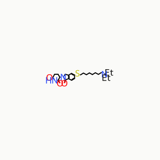 CCN(CC)CCCCCCCCSc1ccc2c(c1)CN(C1CCC(=O)NC1=O)C2=O